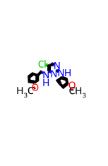 COc1cccc(CNc2nc(Nc3cccc(OC)c3)ncc2Cl)c1